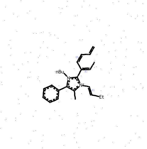 C=C/C=C\C(=C/C)c1n(CCCC)c(-c2ccccc2)c(C)[n+]1/C=C/CC